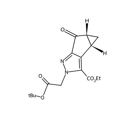 CCOC(=O)c1c2c(nn1CC(=O)OC(C)(C)C)C(=O)[C@@H]1C[C@H]21